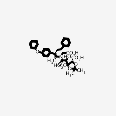 C[C@H]([C@H](CCc1ccccc1)c1ccc(Oc2ccccc2)cc1)N(CC(=O)O)C(=O)C(O)[C@@]1(C(=O)O)OC(C)(C)O[C@H]1C(=O)O